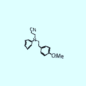 COc1ccc(CCN(CCC#N)c2ccccc2)cc1